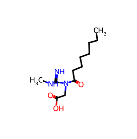 CCCCCCCC(=O)N(CC(=O)O)C(=N)NC